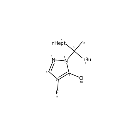 CCCCCCCC(C)(CCCC)n1ncc(F)c1Cl